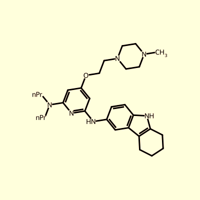 CCCN(CCC)c1cc(OCCN2CCN(C)CC2)cc(Nc2ccc3[nH]c4c(c3c2)CCCC4)n1